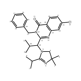 CC(C)C1=NC(C)(C)CN1C(c1nc2cc(Cl)ccc2c(=O)n1Cc1ccccc1)C(C)C